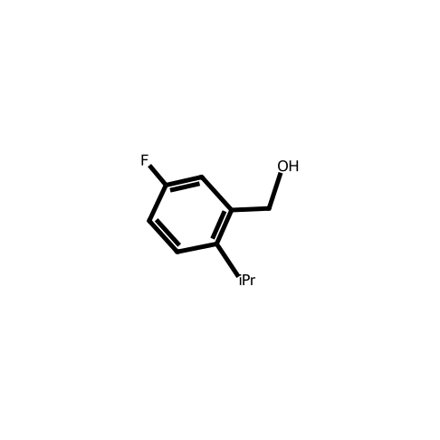 CC(C)c1ccc(F)cc1CO